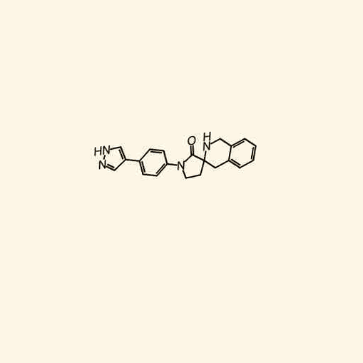 O=C1N(c2ccc(-c3cn[nH]c3)cc2)CCC12Cc1ccccc1CN2